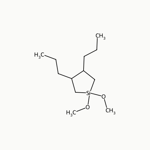 CCCC1C[Si](OC)(OC)CC1CCC